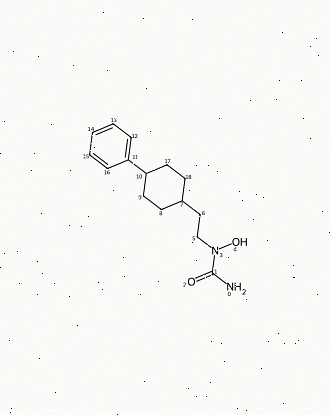 NC(=O)N(O)CCC1CCC(c2ccccc2)CC1